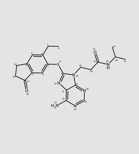 CCc1cc2c(cc1Sc1nc3c(N)ncnc3n1CCC(=O)NC(C)C)C(=O)CC2